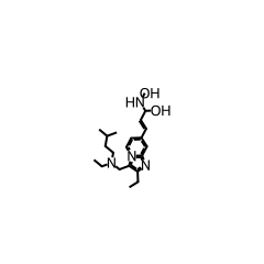 CCc1nc2cc(/C=C/C(O)NO)ccn2c1CN(CC)CCC(C)C